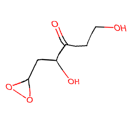 O=C(CCO)C(O)CC1OO1